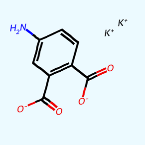 Nc1ccc(C(=O)[O-])c(C(=O)[O-])c1.[K+].[K+]